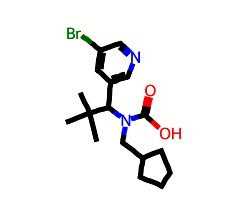 CC(C)(C)C(c1cncc(Br)c1)N(CC1CCCC1)C(=O)O